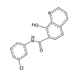 O=C(Nc1cccc(Cl)c1)c1ccc2cccnc2c1O